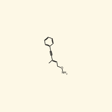 CC(C#Cc1ccccc1)=CCON